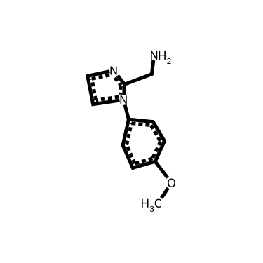 COc1ccc(-n2ccnc2CN)cc1